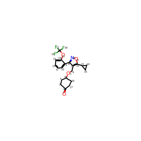 O=C1CCC(OCc2c(-c3ccccc3OC(F)(F)F)noc2C2CC2)CC1